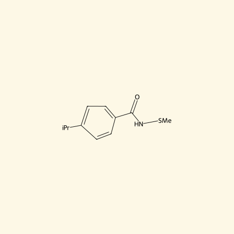 CSNC(=O)c1ccc(C(C)C)cc1